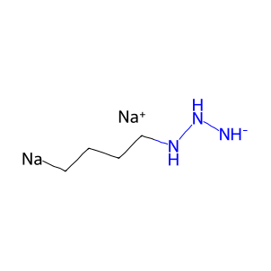 [NH-]NNCCC[CH2][Na].[Na+]